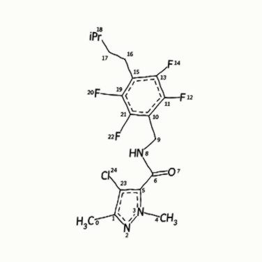 Cc1nn(C)c(C(=O)NCc2c(F)c(F)c(CCC(C)C)c(F)c2F)c1Cl